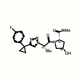 CNC(=O)[C@@H]1C[C@@H](O)CN1C(=O)[C@@H](n1cc(C2(c3ccc(F)cc3)CC2)nn1)C(C)(C)C